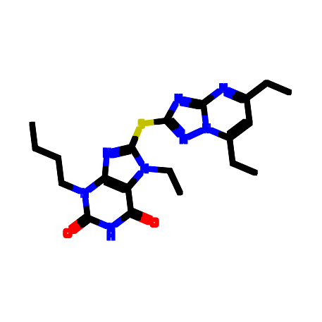 CCCCn1c(=O)[nH]c(=O)c2c1nc(Sc1nc3nc(CC)cc(CC)n3n1)n2CC